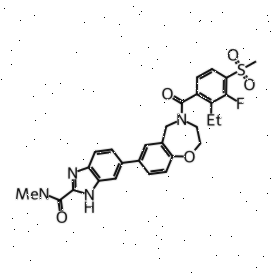 CCc1c(C(=O)N2CCOc3ccc(-c4ccc5nc(C(=O)NC)[nH]c5c4)cc3C2)ccc(S(C)(=O)=O)c1F